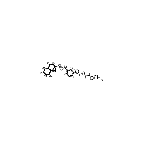 COCCOCOc1cccc(COCc2ccc3ccccc3n2)c1